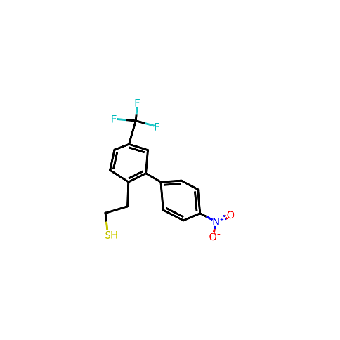 O=[N+]([O-])c1ccc(-c2cc(C(F)(F)F)ccc2CCS)cc1